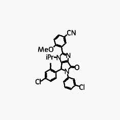 COc1ccc(C#N)cc1-c1nc2c(n1C(C)C)C(c1ccc(Cl)cc1C)N(c1cccc(Cl)c1)C2=O